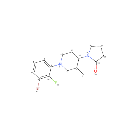 CC1CN(c2cccc(Br)c2F)CCC1N1CCCC1=O